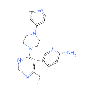 CCc1ncnc(N2CCN(c3ccncc3)CC2)c1-c1ccc(N)nc1